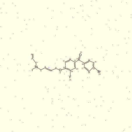 C=CCN(C)C/C=C/COc1ccc(C(=O)c2ccc(Br)cc2)cc1F